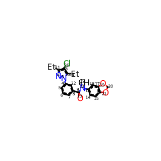 CCc1nn(-c2cccc(C(=O)N(C)c3ccc4c(c3)OCO4)c2)c(CC)c1Cl